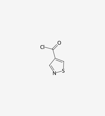 O=C(Cl)c1cnsc1